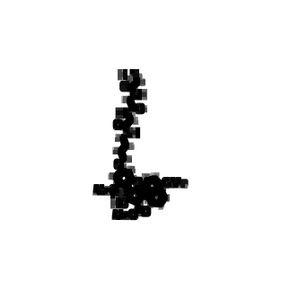 COC(=O)[C@@H]1C(c2ccccc2)[C@]2(c3ccc(OC)cc3)Oc3cc(OCCCCNC(=O)CNC(=O)CNC(=O)CN)cc(OC)c3[C@]2(O)[C@@H]1O